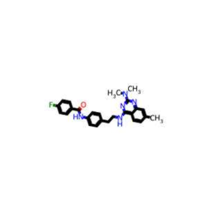 Cc1ccc2c(NCCc3ccc(NC(=O)c4ccc(F)cc4)cc3)nc(N(C)C)nc2c1